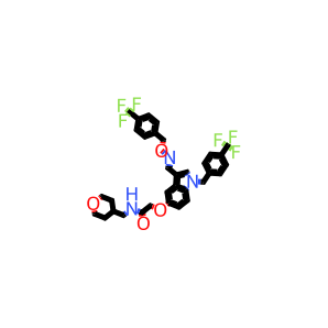 O=C(COc1ccc2c(c1)c(/C=N/OCc1ccc(C(F)(F)F)cc1)cn2Cc1ccc(C(F)(F)F)cc1)NCC1CCOCC1